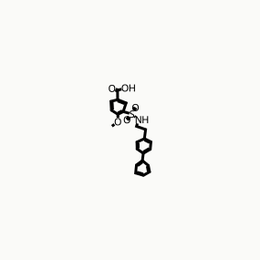 COc1ccc(C(=O)O)cc1S(=O)(=O)NCCc1ccc(-c2ccccc2)cc1